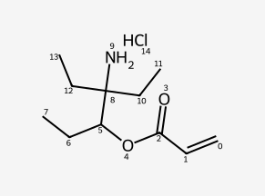 C=CC(=O)OC(CC)C(N)(CC)CC.Cl